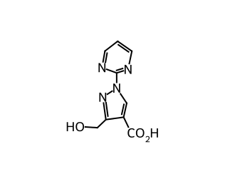 O=C(O)c1cn(-c2ncccn2)nc1CO